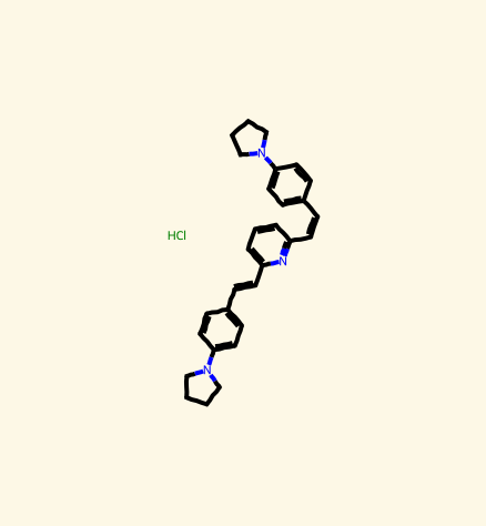 C(=C/c1cccc(/C=C/c2ccc(N3CCCC3)cc2)n1)/c1ccc(N2CCCC2)cc1.Cl